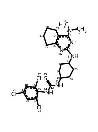 CN(C)c1nc(NC2CCC(NC(=S)Nc3c(Cl)cc(Cl)cc3Cl)CC2)nc2c1CCCC2